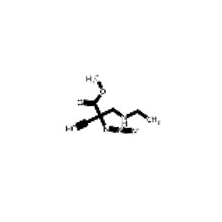 C#CC(CNCC)(N=[N+]=[N-])C(=O)OC